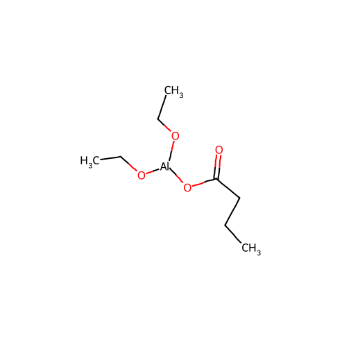 CCCC(=O)[O][Al]([O]CC)[O]CC